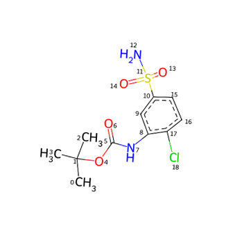 CC(C)(C)OC(=O)Nc1cc(S(N)(=O)=O)ccc1Cl